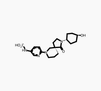 O=C(O)Nc1ccc(N2CCC[C@@]3(CCN([C@H]4CC[C@H](O)CC4)C3=O)C2)nc1